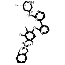 O=S(=O)(Cc1ccccc1Cl)Nc1c(F)cc(Oc2ncccc2-c2ccnc(N[C@@H]3CNC[C@@H](F)C3)n2)c(F)c1F